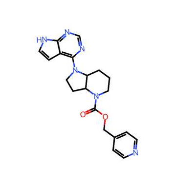 O=C(OCc1ccncc1)N1CCCC2C1CCN2c1ncnc2[nH]ccc12